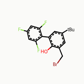 CC(C)(C)c1cc(CBr)c(O)c(-c2c(F)cc(F)cc2F)c1